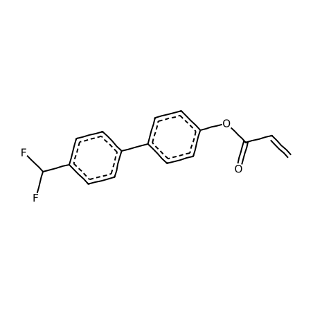 C=CC(=O)Oc1ccc(-c2ccc(C(F)F)cc2)cc1